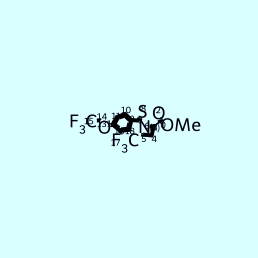 COC(=O)[C@H]1CCN1C(=S)c1ccc(OCC(F)(F)F)c(C(F)(F)F)c1